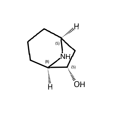 O[C@H]1C[C@@H]2CCC[C@H]1N2